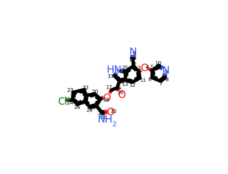 N#Cc1c(Oc2cccnc2)ccc2c(C(=O)COc3cc4ccc(Cl)cc4cc3C(N)=O)c[nH]c12